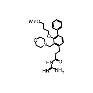 COCCCOc1c(-c2ccccc2)ccc(CCC(=O)NC(=N)N)c1CN1CCOCC1